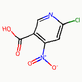 O=C(O)c1cnc(Cl)cc1[N+](=O)[O-]